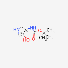 CC(C)(C)OC(=O)N[C@@H]1CNC[C@@H]1O